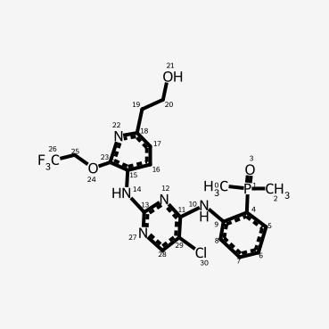 CP(C)(=O)c1ccccc1Nc1nc(Nc2ccc(CCO)nc2OCC(F)(F)F)ncc1Cl